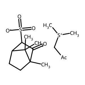 CC(=O)C[S+](C)C.CC12CCC(C(S(=O)(=O)[O-])C1=O)C2(C)C